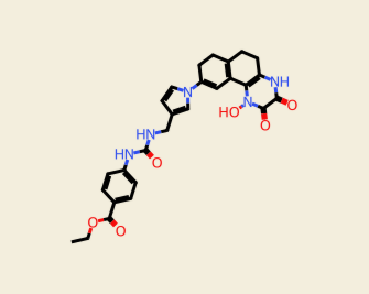 CCOC(=O)c1ccc(NC(=O)NCc2ccn(C3=CC4=C(CC3)CCc3[nH]c(=O)c(=O)n(O)c34)c2)cc1